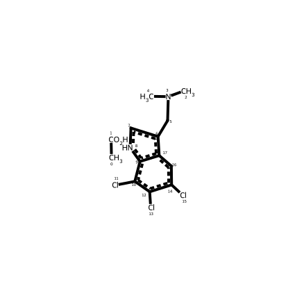 CC(=O)O.CN(C)Cc1c[nH]c2c(Cl)c(Cl)c(Cl)cc12